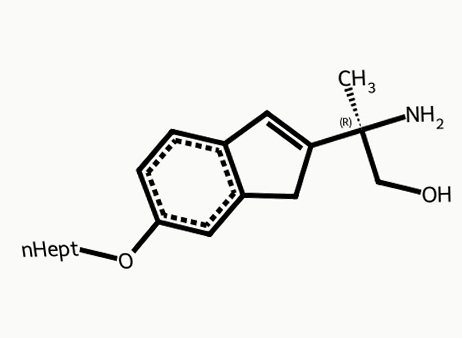 CCCCCCCOc1ccc2c(c1)CC([C@@](C)(N)CO)=C2